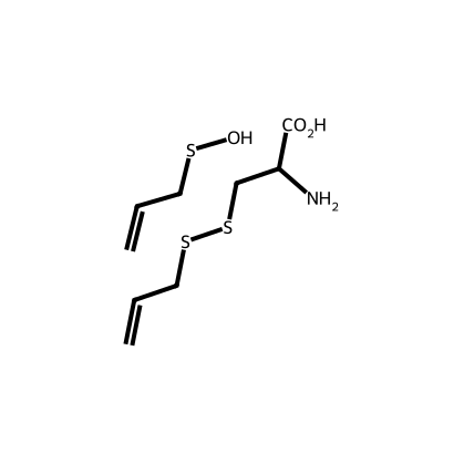 C=CCSO.C=CCSSCC(N)C(=O)O